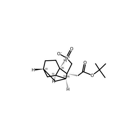 CC(C)(C)OC(=O)C[C@@]1(C[N+](=O)[O-])[C@@H]2CC[C@H]3C[C@@H]2[C@@H]1C3